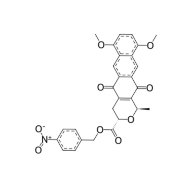 COc1ccc(OC)c2cc3c(cc12)C(=O)C1=C(C3=O)[C@@H](C)O[C@H](C(=O)OCc2ccc([N+](=O)[O-])cc2)C1